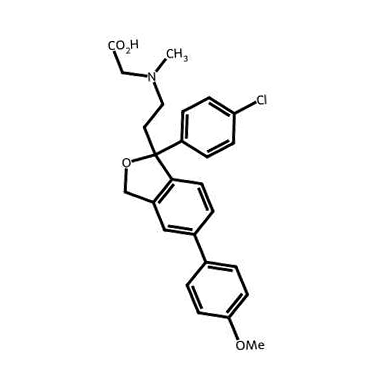 COc1ccc(-c2ccc3c(c2)COC3(CCN(C)CC(=O)O)c2ccc(Cl)cc2)cc1